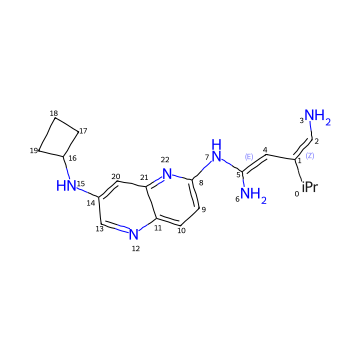 CC(C)C(=C/N)/C=C(\N)Nc1ccc2ncc(NC3CCC3)cc2n1